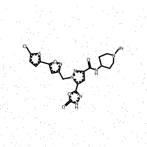 CC(C)N1CCC(NC(=O)c2cc(-c3n[nH]c(=O)o3)n(Cc3cc(-c4ccc(Cl)s4)on3)n2)CC1